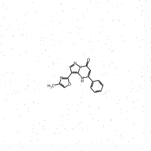 Cc1coc(-c2cnn3c(=O)cc(-c4ccccc4)[nH]c23)n1